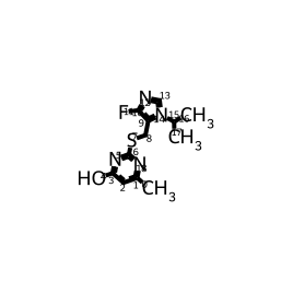 Cc1cc(O)nc(SCc2c(F)ncn2C(C)C)n1